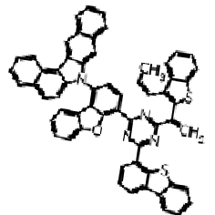 C=C(c1nc(-c2ccc(-n3c4cc5ccccc5cc4c4c5ccccc5ccc43)c3c2oc2ccccc23)nc(-c2cccc3c2sc2ccccc23)n1)c1sc2ccccc2c1/C=C\C